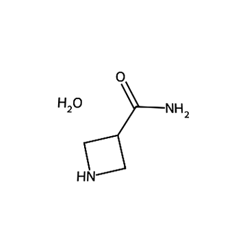 NC(=O)C1CNC1.O